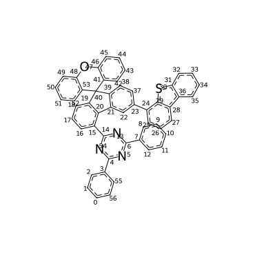 c1ccc(-c2nc(-c3ccccc3)nc(-c3cccc4c3-c3cc(-c5cccc6c5sc5ccccc56)ccc3C43c4ccccc4Oc4ccccc43)n2)cc1